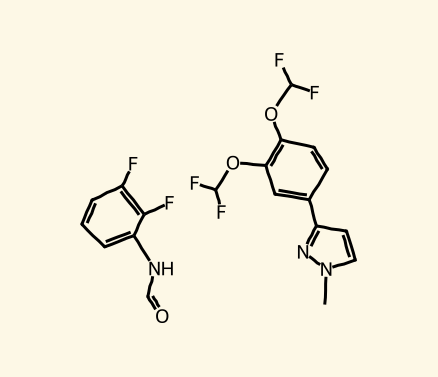 Cn1ccc(-c2ccc(OC(F)F)c(OC(F)F)c2)n1.O=CNc1cccc(F)c1F